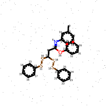 Cc1cccc(/N=C(/CC(SSc2ccccc2)SSc2ccccc2)Oc2ccccc2)c1